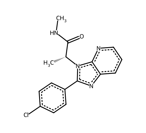 CNC(=O)[C@@H](C)n1c(-c2ccc(Cl)cc2)nc2cccnc21